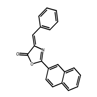 O=C1OC(c2ccc3ccccc3c2)=NC1=Cc1ccccc1